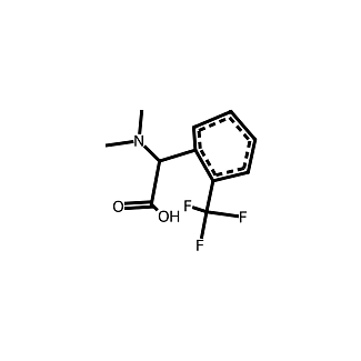 CN(C)C(C(=O)O)c1ccccc1C(F)(F)F